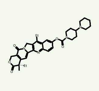 CCc1c2c(nc3ccc(OC(=O)N4CCC(N5CCCCC5)CC4)cc13)-c1cc3c(c(=O)n1C2)COC(=O)[C@@]3(C)CC